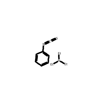 CCN(CC)CC.S=C=Nc1ccccc1